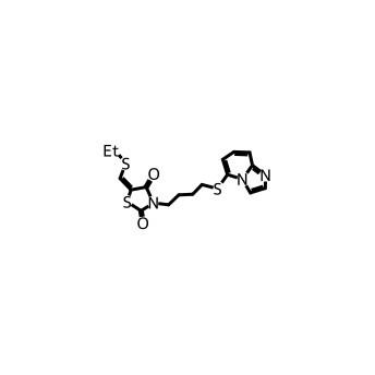 CCS/C=C1/SC(=O)N(CCCCSc2cccc3nccn23)C1=O